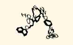 CN1CCCn2c(C(=O)O)c(CCCOc3cccc4ccccc34)c3cccc(c32)-c2c(COc3ccc(N4CCN(S(C)(=O)=O)CC4)cc3)nn(C)c2C1